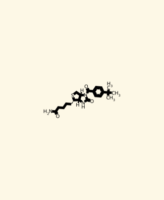 CC(C)(C)c1ccc(C(=O)N2C(=O)N[C@@H]3[C@H](CCCCC(N)=O)SC[C@@H]32)cc1